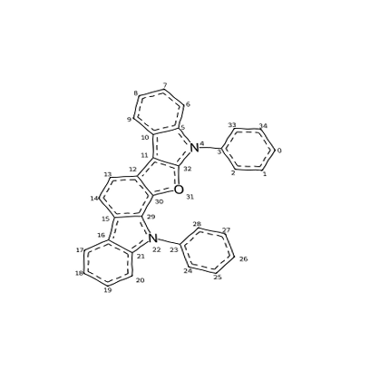 c1ccc(-n2c3ccccc3c3c4ccc5c6ccccc6n(-c6ccccc6)c5c4oc32)cc1